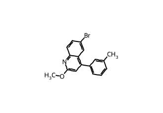 COc1cc(-c2cccc(C)c2)c2cc(Br)ccc2n1